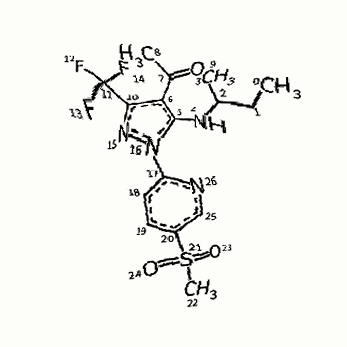 CCC(C)Nc1c(C(C)=O)c(C(F)(F)F)nn1-c1ccc(S(C)(=O)=O)cn1